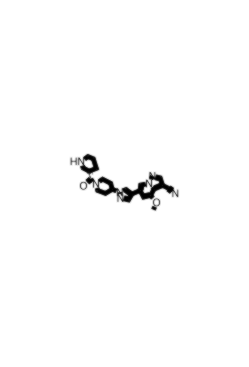 COc1cc(-c2cnn(C3CCN(C(=O)[C@H]4CCCNC4)CC3)c2)cn2ncc(C#N)c12